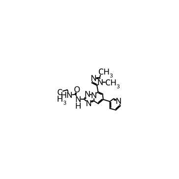 CCNC(=O)Nc1nc2cc(-c3cccnc3)cc(-c3cnc(C)n3C)n2n1